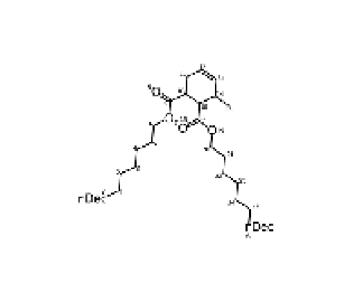 CCCCCCCCCCCCCCCCOC(=O)C1CC=CC(C)C1C(=O)OCCCCCCCCCCCCCCCC